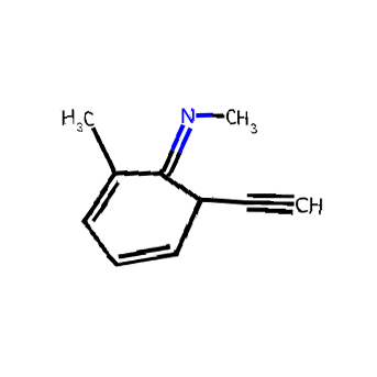 C#CC1C=CC=C(C)/C1=N/C